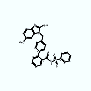 CCCCc1nc2ccc(OC)cc2n1Cc1ccc(-c2ccccc2C(=O)NS(=O)(=O)c2ccccc2)cc1